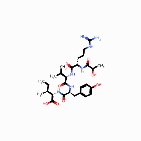 CC[C@H](C)[C@H](NC(=O)[C@H](Cc1ccc(O)cc1)NC(=O)[C@@H](NC(=O)[C@H](CCCNC(=N)N)NC(=O)C(C)O)C(C)C)C(=O)O